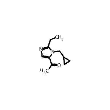 CCc1ncc(C(C)=O)n1CC1CC1